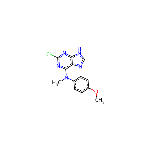 COc1ccc(N(C)c2nc(Cl)nc3[nH]cnc23)cc1